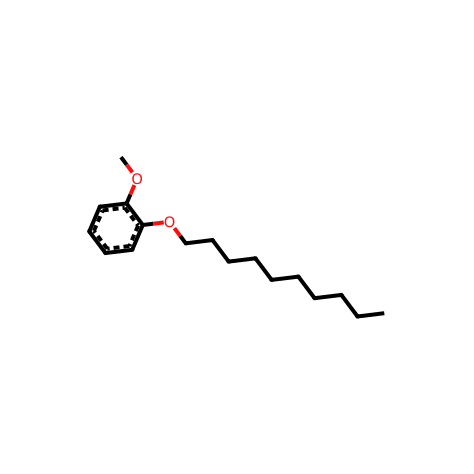 CCCCCCCCCCOc1ccccc1OC